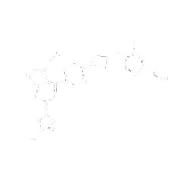 C#Cc1ccc(OC2CN(c3ccc(-c4cc(-c5cnn(C(F)F)c5)cn5ncc(C#N)c45)cn3)C2)c(F)c1